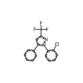 FC(F)(F)c1cc(-c2cc[c]cc2)n(-c2ccccc2Cl)n1